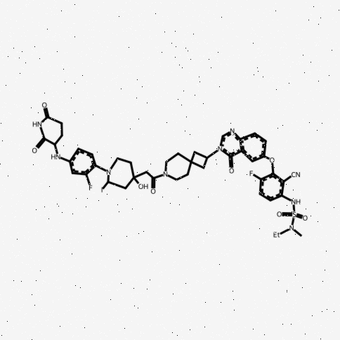 CCN(C)S(=O)(=O)Nc1ccc(F)c(Oc2ccc3ncn(C4CC5(CCN(C(=O)CC6(O)CCN(c7ccc(NC8CCC(=O)NC8=O)cc7F)C(I)C6)CC5)C4)c(=O)c3c2)c1C#N